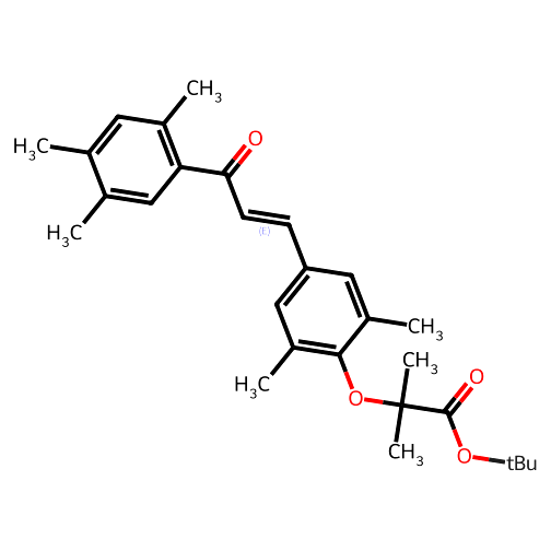 Cc1cc(C)c(C(=O)/C=C/c2cc(C)c(OC(C)(C)C(=O)OC(C)(C)C)c(C)c2)cc1C